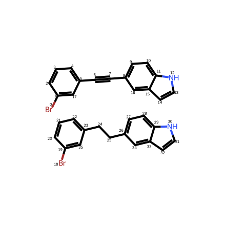 Brc1cccc(C#Cc2ccc3[nH]ccc3c2)c1.Brc1cccc(CCc2ccc3[nH]ccc3c2)c1